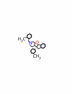 Cc1cccc([C@@]2(C3CCN(Cc4ccccc4C)CC3)Cc3ccccc3C2=O)c1